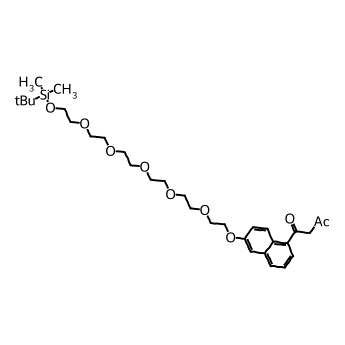 CC(=O)CC(=O)c1cccc2cc(OCCOCCOCCOCCOCCOCCO[Si](C)(C)C(C)(C)C)ccc12